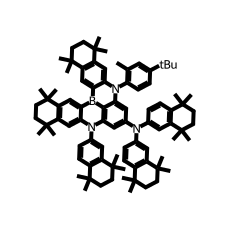 Cc1cc(C(C)(C)C)ccc1N1c2cc3c(cc2B2c4cc5c(cc4N(c4ccc6c(c4)C(C)(C)CCC6(C)C)c4cc(N(c6ccc7c(c6)C(C)(C)CCC7(C)C)c6ccc7c(c6)C(C)(C)CCC7(C)C)cc1c42)C(C)(C)CCC5(C)C)C(C)(C)CCC3(C)C